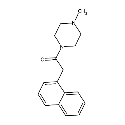 CN1CCN(C(=O)Cc2cccc3ccccc23)CC1